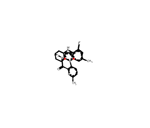 Cc1cnc(NC2CC3CCC2N(C(=O)c2nc(C)ccc2-n2nccn2)C3)c(F)c1